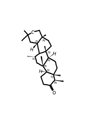 C[C@H]1C[C@@]2(C)[C@@H]3CCC(=O)[C@H](C)[C@@]3(C)CC[C@@H]2[C@@]2(C)CC[C@@]3(C)CCC(C)(C)C[C@H]3C12